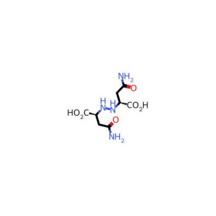 NC(=O)C[C@H](NN[C@@H](CC(N)=O)C(=O)O)C(=O)O